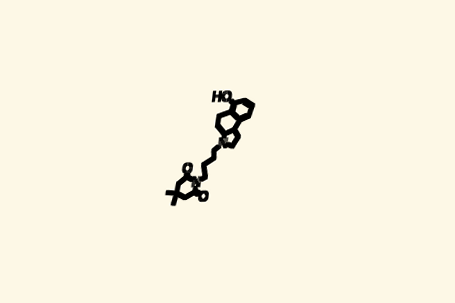 CC1(C)CC(=O)N(CCCCN2CCC3c4cccc(O)c4CCC32)C(=O)C1